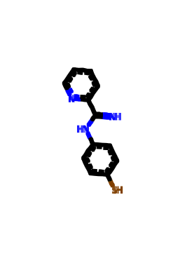 N=C(Nc1ccc(S)cc1)c1ccccn1